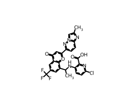 Cc1cn2nc(-c3cc(=O)c4cc(C(F)(F)F)cc(C(C)Nc5ccc(Cl)nc5C(=O)O)c4o3)ccc2n1